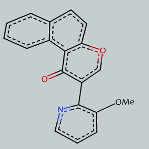 COc1cccnc1-c1coc2ccc3ccccc3c2c1=O